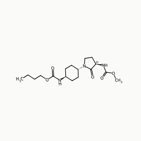 CCCCOC(=O)N[C@H]1CC[C@H](N2CC[C@@H](NC(=O)OC)C2=O)CC1